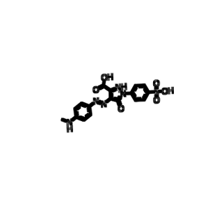 CNc1ccc(N=Nc2c(C(=O)O)[nH]n(-c3ccc(S(=O)(=O)O)cc3)c2=O)cc1